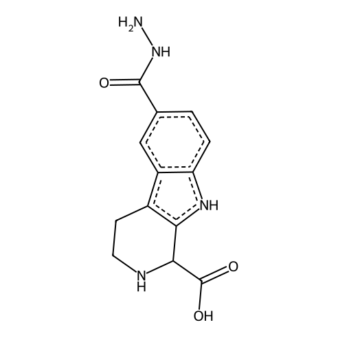 NNC(=O)c1ccc2[nH]c3c(c2c1)CCNC3C(=O)O